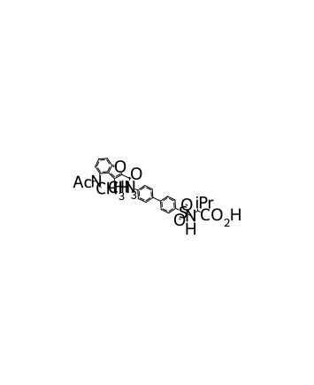 CC(=O)N(C)c1cccc2oc(C(=O)Nc3ccc(-c4ccc(S(=O)(=O)NC(C(=O)O)C(C)C)cc4)cc3)c(C)c12